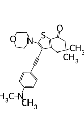 CN(C)c1ccc(C#Cc2c(N3CCOCC3)sc3c2CC(C)(C)CC3=O)cc1